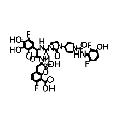 O=C(O)c1c(F)ccc2c1OB(O)[C@@H](NC(=O)C(NC(=O)N1CCN(C3CCN(C(=O)Nc4c(F)ccc(O)c4F)CC3)C1=O)c1cc(F)c(O)c(O)c1Cl)C2